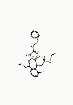 CCOC(=O)CN1C(=O)[C@@H](NC(=O)OCc2ccccc2)N=C(COC)c2cccc(C)c21